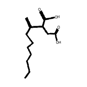 C=C(CCCCCCC)C(CC(=O)O)C(=O)O